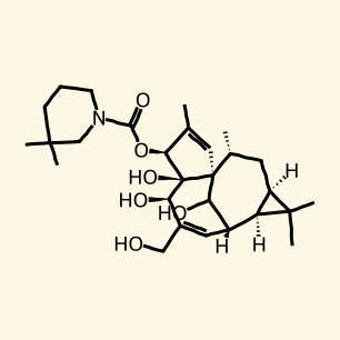 CC1=C[C@]23C(O)[C@@H](C=C(CO)[C@@H](O)[C@]2(O)[C@H]1OC(=O)N1CCCC(C)(C)C1)[C@H]1[C@@H](C[C@H]3C)C1(C)C